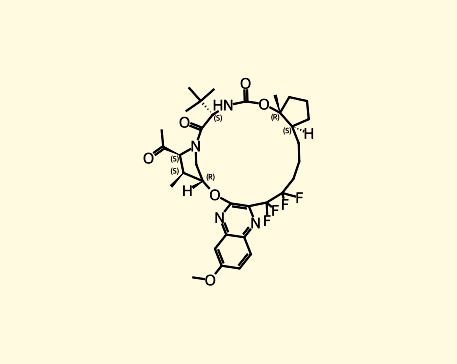 COc1ccc2nc3c(nc2c1)O[C@H]1CN(C(=O)[C@H](C(C)(C)C)NC(=O)O[C@]2(C)CCC[C@H]2CCCC(F)(F)C3(F)F)[C@H](C(C)=O)[C@@H]1C